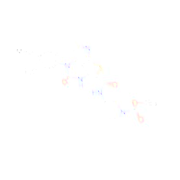 COc1ccc(N2C(=O)Nc3c(C(=O)NC4CCCN(C(=O)OC(C)(C)C)C4)sc4nccc2c34)cc1C(F)(F)F